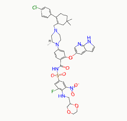 C[C@@H]1CN(CC2=C(c3ccc(Cl)cc3)CCC(C)(C)C2)CCN1c1ccc(C(=O)NS(=O)(=O)c2cc(F)c(NCC3COCCO3)c([N+](=O)[O-])c2)c(Oc2cnc3[nH]ccc3c2)c1